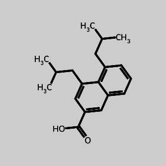 CC(C)Cc1cccc2cc(C(=O)O)cc(CC(C)C)c12